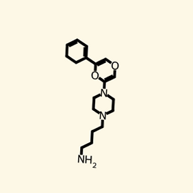 NCCCCN1CCN(C2=COC=C(C3=CC=CCC3)O2)CC1